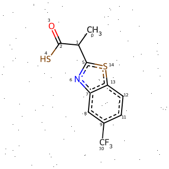 CC(C(=O)S)c1nc2cc(C(F)(F)F)ccc2s1